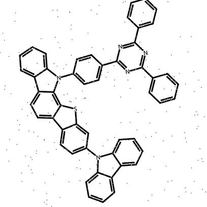 c1ccc(-c2nc(-c3ccccc3)nc(-c3ccc(-n4c5ccccc5c5ccc6c7ccc(-n8c9ccccc9c9ccccc98)cc7sc6c54)cc3)n2)cc1